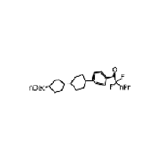 CCCCCCCCCC[C@H]1CC[C@H](C2CCC(c3ccc(C(=O)C(F)(F)CCC)cc3)CC2)CC1